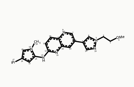 COCCn1cc(-c2cnc3ccc(Nc4cc(C(C)C)cn4C)nc3c2)cn1